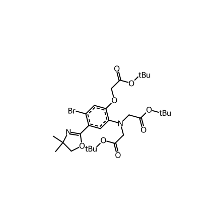 CC1(C)COC(c2cc(N(CC(=O)OC(C)(C)C)CC(=O)OC(C)(C)C)c(OCC(=O)OC(C)(C)C)cc2Br)=N1